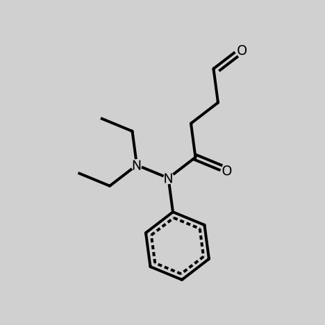 CCN(CC)N(C(=O)CCC=O)c1ccccc1